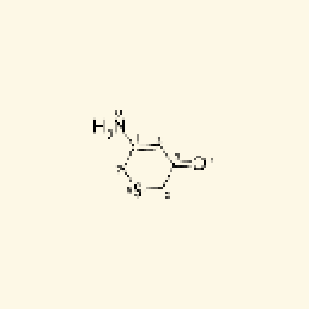 NC1=CC(=O)CSC1